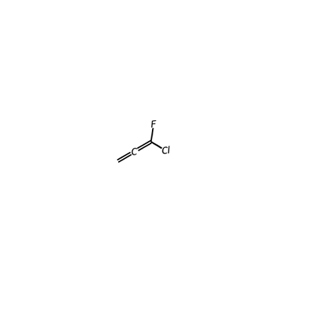 C=C=C(F)Cl